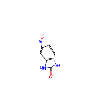 O=Nc1ccc2[nH]c(=O)[nH]c2c1